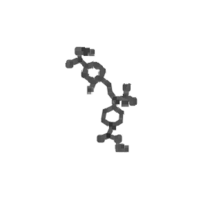 COC(=O)c1ccc(CCN(C2CCN(C(=O)OC(C)(C)C)CC2)[SH](=O)=O)c(F)c1